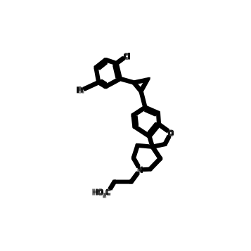 CCc1ccc(Cl)c(C2CC2c2ccc3c(c2)OCC32CCN(CCC(=O)O)CC2)c1